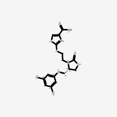 O=C(O)c1csc(SCCN2C(=O)OC[C@@H]2COc2cc(Cl)cc(Cl)c2)n1